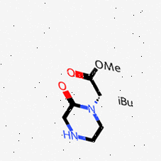 CC[C@H](C)[C@@H](C(=O)OC)N1CCNCC1=O